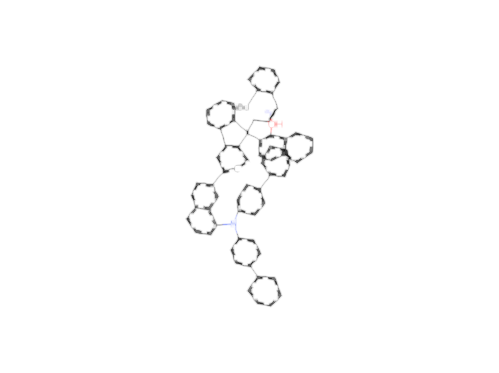 CCCCc1ccccc1/C=C\CC1(c2ccc3ccccc3c2O)c2ccccc2-c2cc(-c3ccc4cccc(N(c5ccc(-c6ccccc6)cc5)c5ccc(-c6ccccc6)cc5)c4c3)ccc21